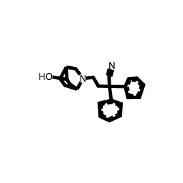 N#CC(CCN1CC2CCC1CC2O)(c1ccccc1)c1ccccc1